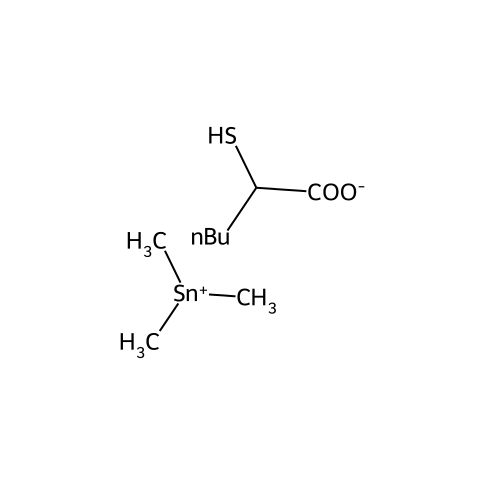 CCCCC(S)C(=O)[O-].[CH3][Sn+]([CH3])[CH3]